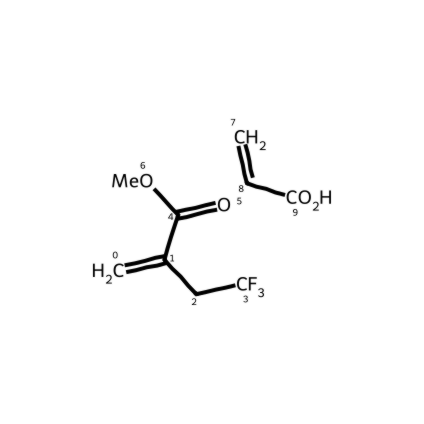 C=C(CC(F)(F)F)C(=O)OC.C=CC(=O)O